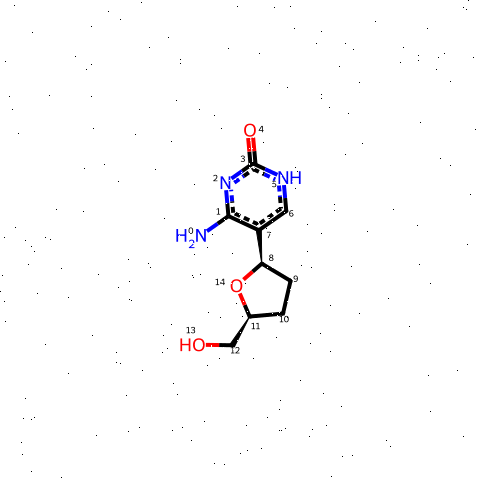 Nc1nc(=O)[nH]cc1[C@H]1CC[C@@H](CO)O1